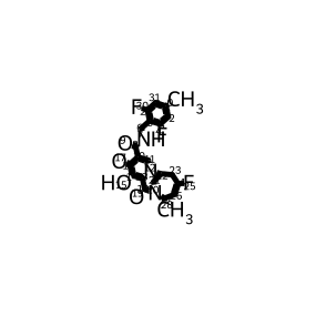 Cc1cc(F)c(CNC(=O)c2cn3c(c(O)c2=O)C(=O)N2CC3CC(F)=CC2C)c(F)c1